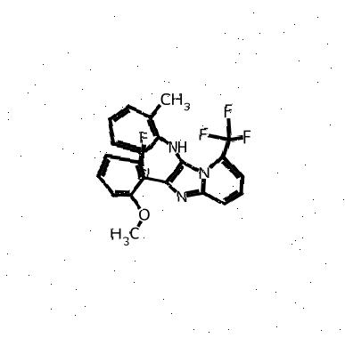 COc1cccc(F)c1-c1nc2cccc(C(F)(F)F)n2c1Nc1c(C)cccc1Cl